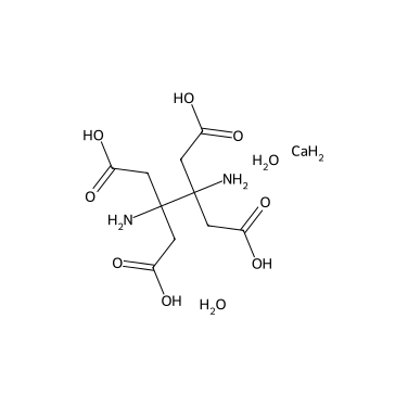 NC(CC(=O)O)(CC(=O)O)C(N)(CC(=O)O)CC(=O)O.O.O.[CaH2]